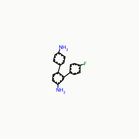 Nc1ccc(-c2ccc(N)cc2-c2ccc(F)cc2)cc1